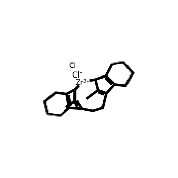 CC1=C2CCC3=C(C)[CH]([Zr+2][CH]1C1=C2CCCC1)C1=C3CCCC1.[Cl-].[Cl-]